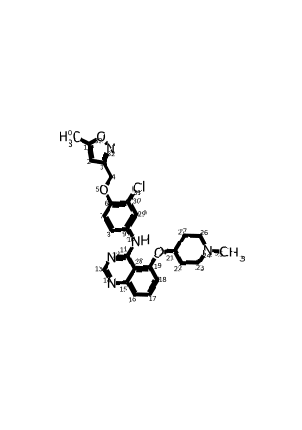 Cc1cc(COc2ccc(Nc3ncnc4cccc(OC5CCN(C)CC5)c34)cc2Cl)no1